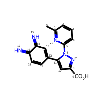 Cc1cccc(-n2nc(C(=O)O)cc2C2=CC(=N)C(=N)C=C2)n1